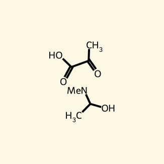 CC(=O)C(=O)O.CNC(C)O